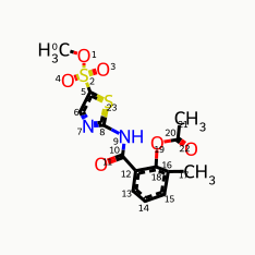 COS(=O)(=O)c1cnc(NC(=O)c2cccc(C)c2OC(C)=O)s1